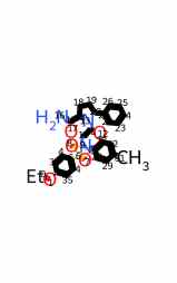 CCOc1ccc(S(=O)(=O)N(CC(=O)N2C(C(N)=O)CCC2c2ccccc2)c2ccc(C)cc2)cc1